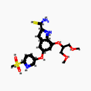 COCC(COC)Oc1cc(Oc2ccc(S(C)(=O)=O)nc2)cc2cc(C(N)=S)[nH]c12